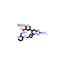 COc1ncc(-c2ccn3nc(N)nc3c2)cc1C(=O)NCc1ncccc1OCC1CCC1